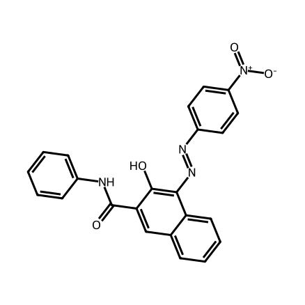 O=C(Nc1ccccc1)c1cc2ccccc2c(/N=N/c2ccc([N+](=O)[O-])cc2)c1O